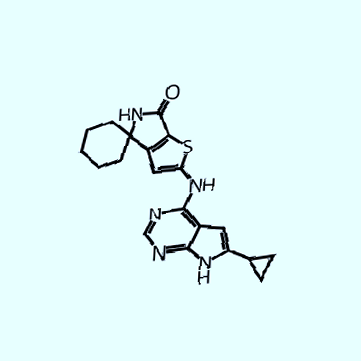 O=C1NC2(CCCCC2)c2cc(Nc3ncnc4[nH]c(C5CC5)cc34)sc21